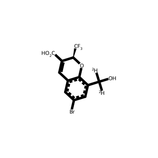 [2H]C([2H])(O)c1cc(Br)cc2c1O[C@H](C(F)(F)F)C(C(=O)O)=C2